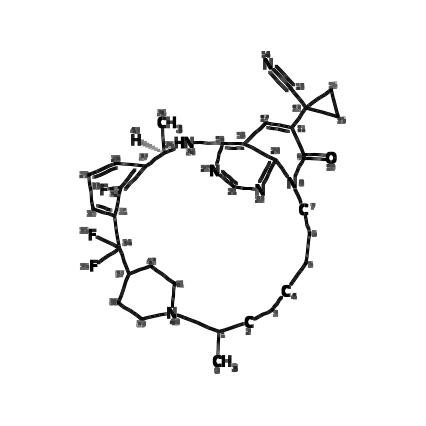 CC1CCCCCCn2c(=O)c(C3(C#N)CC3)cc3c(ncnc32)N[C@H](C)c2cccc(c2F)C(F)(F)C2CCN1CC2